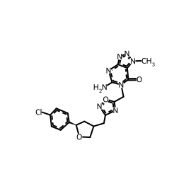 Cn1nnc2nc(N)n(Cc3nc(CC4CO[C@@H](c5ccc(Cl)cc5)C4)no3)c(=O)c21